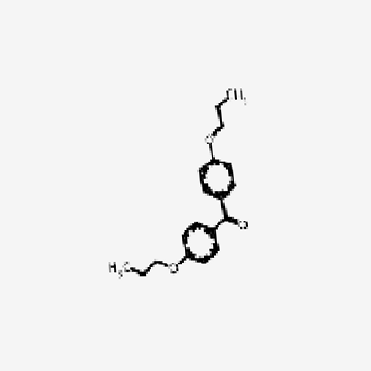 CCCOc1ccc(C(=O)c2ccc(OCCC)cc2)cc1